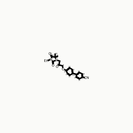 CCN1C(=O)N(CC(=O)COc2ccc(-c3ccc(C#N)cc3)cc2)C(C)(C)C1=O